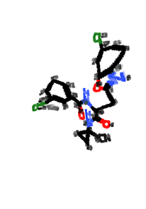 N#CC1(NC(=O)[C@H](Cc2nc3ccc(Cl)cc3o2)NC(=O)c2cccc(Cl)c2)CC1